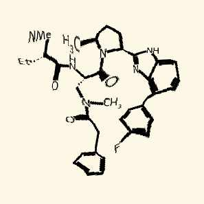 CC[C@H](NC)C(=O)N[C@@H](CN(C)C(=O)Cc1ccccc1)C(=O)N1C(C)CC[C@H]1c1nc2c(-c3ccc(F)cc3)cccc2[nH]1